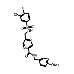 COc1ccc(CNC(=O)c2cnc(CNS(=O)(=O)c3ccc(F)c(Cl)c3)cn2)cn1